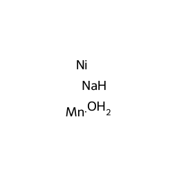 O.[Mn].[NaH].[Ni]